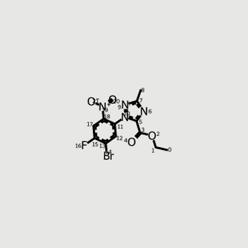 CCOC(=O)c1nc(C)nn1-c1cc(Br)c(F)cc1[N+](=O)[O-]